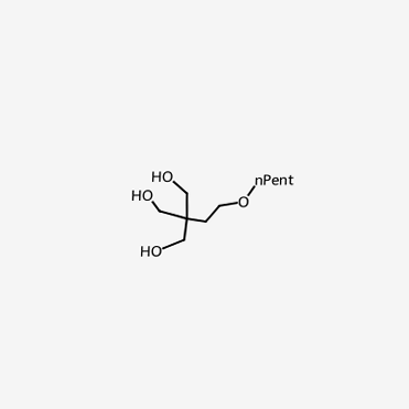 CCCCCOCCC(CO)(CO)CO